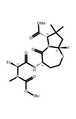 CC[C@@H](C(=O)N[C@H]1CCS[C@H]2CC(C)(C)[C@@H](C(=O)OC)N2C1=O)N(C)C(=O)OC(C)(C)C